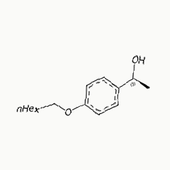 CCCCCCCOc1ccc([C@H](C)O)cc1